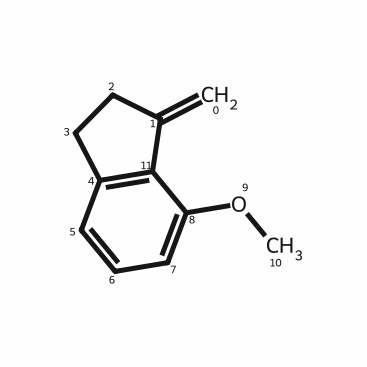 C=C1CCc2cccc(OC)c21